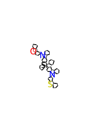 c1ccc([Si](c2ccccc2)(c2ccc3c(c2)c2ccccc2n3-c2ccc3oc4ccccc4c3c2)c2ccc3c(c2)c2ccccc2n3-c2ccc3sc4ccccc4c3c2)cc1